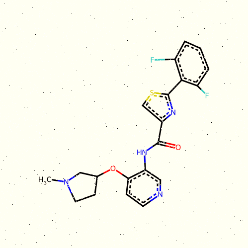 CN1CCC(Oc2ccncc2NC(=O)c2csc(-c3c(F)cccc3F)n2)C1